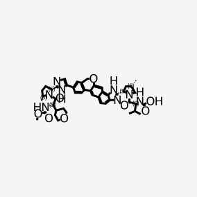 COC(=O)N[C@H](C(=O)N1[C@@H](C)CC[C@H]1c1ncc(-c2ccc3c(c2)COc2cc4c(ccc5nc([C@@H]6C[C@H](C)CN6C(=O)[C@@H](NC(=O)O)C(C)C)[nH]c54)cc2-3)[nH]1)C1CCOCC1